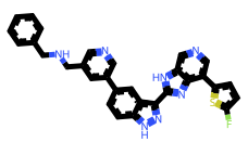 Fc1ccc(-c2cncc3[nH]c(-c4n[nH]c5ccc(-c6cncc(CNCc7ccccc7)c6)cc45)nc23)s1